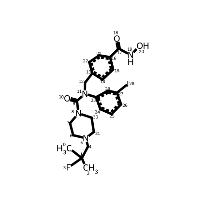 CC(C)(F)CN1CCN(C(=O)N(Cc2ccc(C(=O)NO)cc2)c2cccc(I)c2)CC1